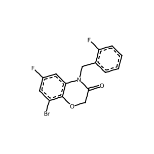 O=C1COc2c(Br)cc(F)cc2N1Cc1ccccc1F